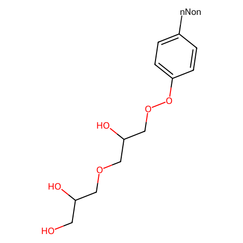 CCCCCCCCCc1ccc(OOCC(O)COCC(O)CO)cc1